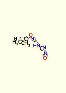 CC(C)(C)c1ccc(C(=O)N2CC3C(CNc4ccc(CN5CCOCC5)nc4)C3C2)cc1